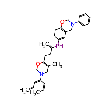 C=C/C=C(\C=C/C)N1COC(CCC(=C)PC2=CC3=C(CC2)OCN(c2ccccc2)C3)=C(C)C1